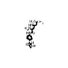 CC(C)CC(=N)/C=C(\N)C(=O)Nc1ccc([C@@H]2OC3CN[C@H]32)cc1